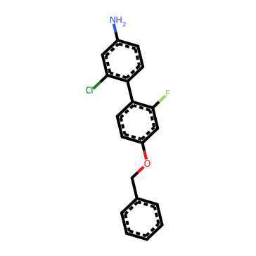 Nc1ccc(-c2ccc(OCc3ccccc3)cc2F)c(Cl)c1